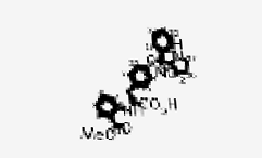 COC(=O)c1ccccc1NC(Cc1ccc(OC(c2ccccc2)(C2CCCN2)[N+](=O)[O-])cc1)C(=O)O